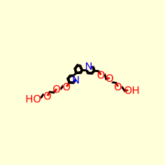 OCCOCCOCCOCc1ccc(-c2cccc(-c3ccc(OCCOCCOCCO)cn3)c2)nc1